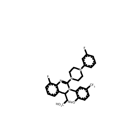 COc1ccc(C(F)(F)F)cc1N1C(N2CCN(c3cccc(F)c3)CC2)=Nc2c(F)cccc2C1CC(=O)O